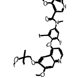 COc1cc2nccc(Oc3c(F)cc(N(C)C(=O)c4cnccc4OC)cc3I)c2cc1OCC(C)(C)OI